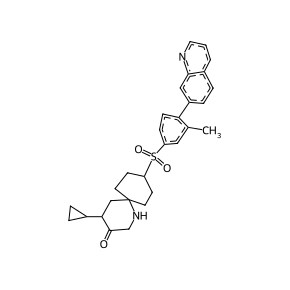 Cc1cc(S(=O)(=O)C2CCC3(CC2)CC(C2CC2)C(=O)CN3)ccc1-c1ccc2cccnc2c1